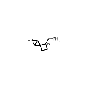 PC[C@H]1CCC12C1PC12